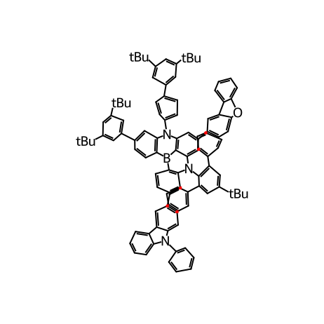 CC(C)(C)c1cc(-c2ccc(N3c4cc(-c5cc(C(C)(C)C)cc(C(C)(C)C)c5)ccc4B4c5ccc(-c6ccc7c(c6)c6ccccc6n7-c6ccccc6)cc5N(c5c(-c6ccccc6)cc(C(C)(C)C)cc5-c5ccccc5)c5cc(-c6ccc7oc8ccccc8c7c6)cc3c54)cc2)cc(C(C)(C)C)c1